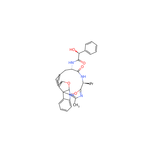 Cc1nc2oc1C13c4ccccc4NC1Oc1ccc(cc13)C[C@H](NC(=O)[C@@H](O)c1ccccc1)C(=O)N[C@H]2C(C)C